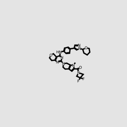 Cn1c(C(=O)N2CC(F)(F)C2)cc2c1CN(c1nc3c(c(Nc4ccc(-c5cnn(C6CCCCO6)c5)cc4)n1)COCC3)CC2